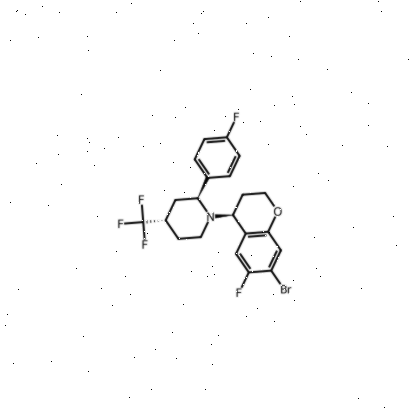 Fc1ccc([C@@H]2C[C@@H](C(F)(F)F)CCN2[C@H]2CCOc3cc(Br)c(F)cc32)cc1